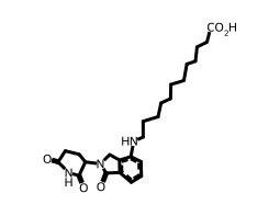 O=C(O)CCCCCCCCCCCNc1cccc2c1CN(C1CCC(=O)NC1=O)C2=O